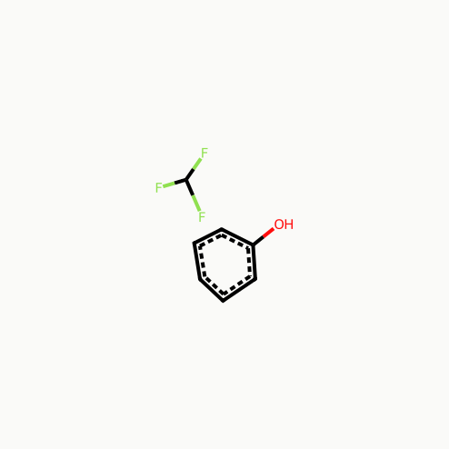 F[C](F)F.Oc1ccccc1